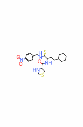 O=C(N[C@H](CCC1CCCCC1)C(=S)NCc1ccc([N+](=O)[O-])cc1)[C@@H]1CSCN1